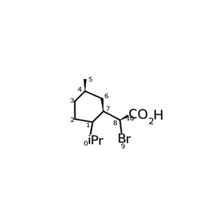 CC(C)C1CC[C@@H](C)C[C@H]1[C@H](Br)C(=O)O